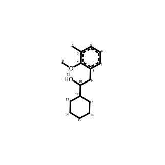 COc1c(C)cccc1CC(O)C1CCCCC1